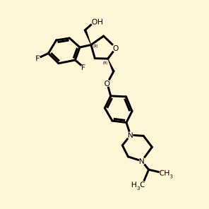 CC(C)N1CCN(c2ccc(OC[C@H]3C[C@](CO)(c4ccc(F)cc4F)CO3)cc2)CC1